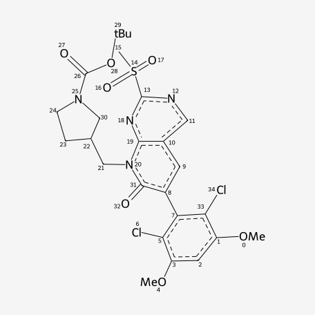 COc1cc(OC)c(Cl)c(-c2cc3cnc(S(C)(=O)=O)nc3n(CC3CCN(C(=O)OC(C)(C)C)C3)c2=O)c1Cl